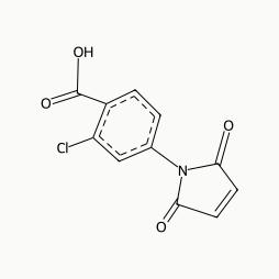 O=C(O)c1ccc(N2C(=O)C=CC2=O)cc1Cl